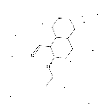 CCOC1CCC2CCCCC2C1C=O